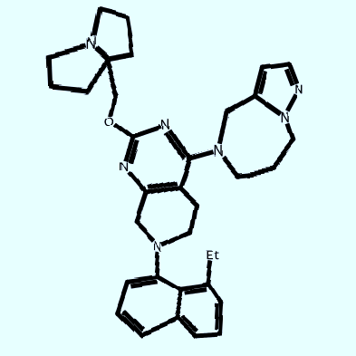 CCc1cccc2cccc(N3CCc4c(nc(OCC56CCCN5CCC6)nc4N4CCCn5nccc5C4)C3)c12